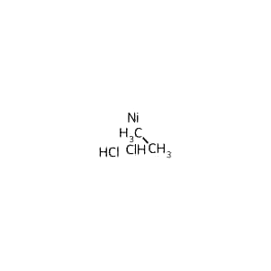 CC.Cl.Cl.[Ni]